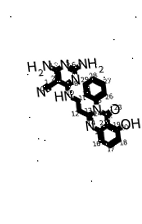 N#Cc1c(N)nc(N)nc1NCCc1nc2cccc(O)c2c(=O)n1-c1ccccc1